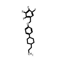 CCCC1CCC(c2ccc(OCc3cc(F)c(F)c(F)c3F)cc2)CC1